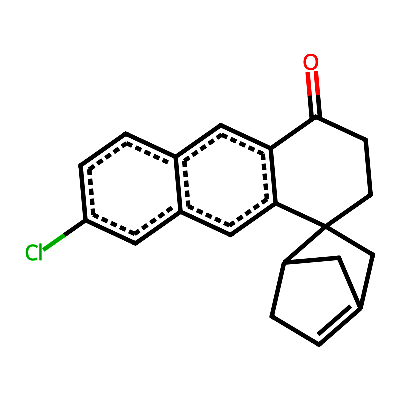 O=C1CCC2(CC3=CCC2C3)c2cc3cc(Cl)ccc3cc21